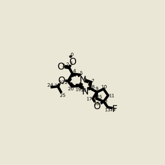 COC(=O)c1cn2cc(C34CCC(CF)(C3)OC4)nc2cc1OC(C)C